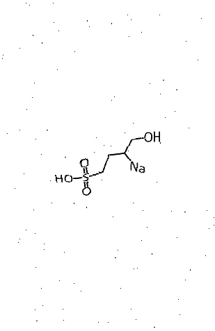 O=S(=O)(O)CC[CH]([Na])CO